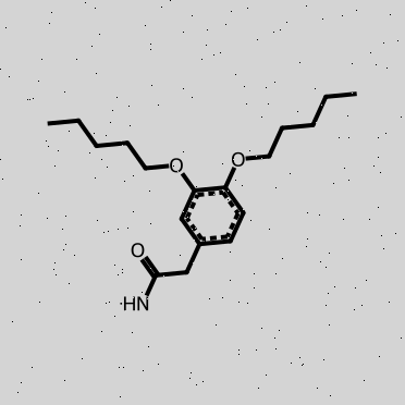 CCCCCOc1ccc(CC([NH])=O)cc1OCCCCC